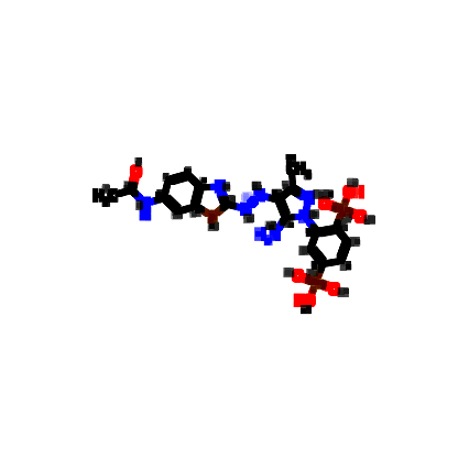 CC(=O)Nc1ccc2nc(/N=N/c3c(C)nn(-c4cc(S(=O)(=O)O)ccc4S(=O)(=O)O)c3N)sc2c1